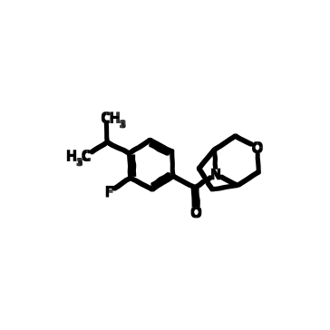 CC(C)c1ccc(C(=O)N2C3CCC2COC3)cc1F